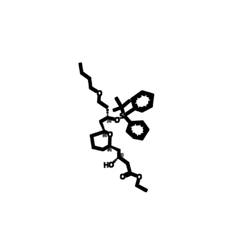 CCCCOCC[C@@H](C[C@@H]1CCC[C@H](C[C@@H](O)CC(=O)OCC)O1)O[Si](c1ccccc1)(c1ccccc1)C(C)(C)C